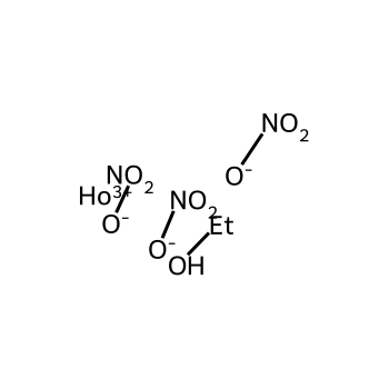 CCO.O=[N+]([O-])[O-].O=[N+]([O-])[O-].O=[N+]([O-])[O-].[Ho+3]